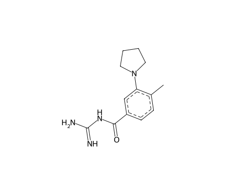 Cc1ccc(C(=O)NC(=N)N)cc1N1CCCC1